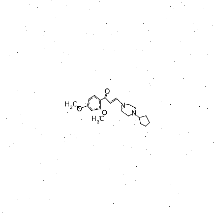 COc1ccc(C(=O)C=CN2CCN(C3CCCC3)CC2)c(OC)c1